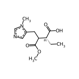 CC[C@@H](C(=O)O)C(Cc1cncn1C)C(=O)OC